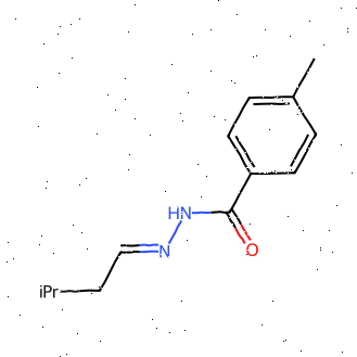 Cc1ccc(C(=O)NN=CCC(C)C)cc1